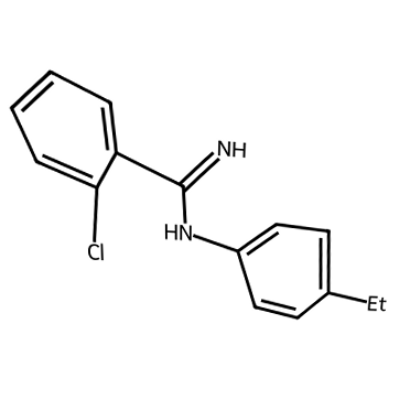 CCc1ccc(NC(=N)c2ccccc2Cl)cc1